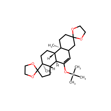 C[C@]12CCC3(CC1C=C(O[Si](C)(C)C)[C@@H]1[C@@H]2CC[C@@]2(C)[C@H]1CCC21OCCO1)OCCO3